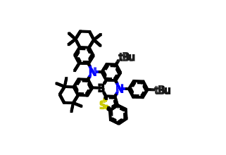 Cc1cc2c(cc1N1c3cc4c(cc3B3c5sc6ccccc6c5N(c5ccc(C(C)(C)C)cc5)c5cc(C(C)(C)C)cc1c53)C(C)(C)CCC4(C)C)C(C)(C)CCC2(C)C